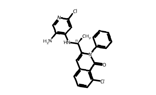 C[C@H](Nc1cc(Cl)ncc1N)c1cc2cccc(Cl)c2c(=O)n1-c1ccccc1